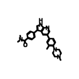 Cc1cc(-c2cnc3[nH]cc(-c4ccc(C(=O)N(C)C)cc4)c3c2)ccc1N1CCN(C)CC1